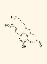 CCCCCCCCCC=O.O=C(O)C=Cc1ccc(O)c(O)c1